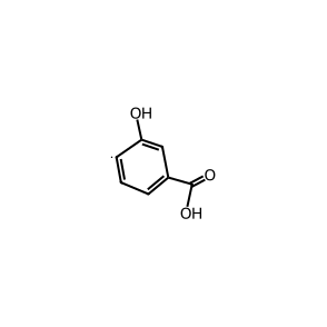 O=C(O)c1cc[c]c(O)c1